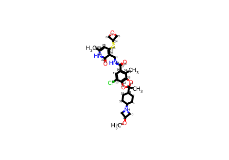 COC1CN(C2CCC(C3(C)Oc4c(Cl)cc(C(=O)NCc5c(SC6COC6)cc(C)[nH]c5=O)c(C)c4O3)CC2)C1